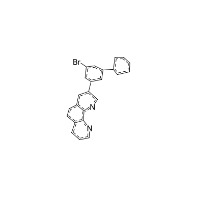 Brc1cc(-c2ccccc2)cc(-c2cnc3c(ccc4cccnc43)c2)c1